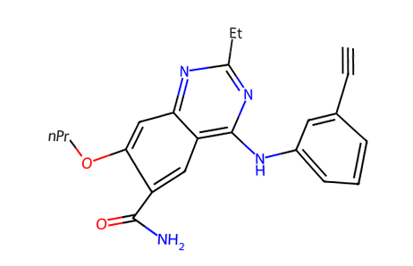 C#Cc1cccc(Nc2nc(CC)nc3cc(OCCC)c(C(N)=O)cc23)c1